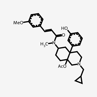 COc1cccc(/C=C/C(=O)N(C)C2CCC3(OC(C)=O)CN(CC4CC4)CCC3(c3cccc(O)c3)C2)c1